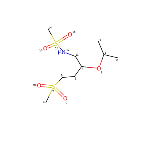 CC(C)OC(CCS(C)(=O)=O)CNS(C)(=O)=O